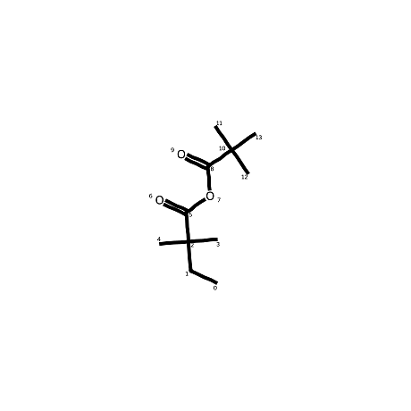 CCC(C)(C)C(=O)OC(=O)C(C)(C)C